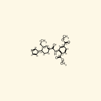 CCN1N=C(C(=O)Nc2cc(C(=O)OC)ccc2C(=O)OC)CCC1n1ccnc1